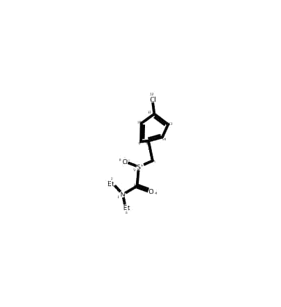 CCN(CC)C(=O)[S+]([O-])Cc1ccc(Cl)cc1